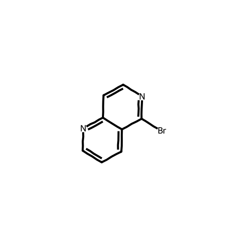 Brc1nccc2ncccc12